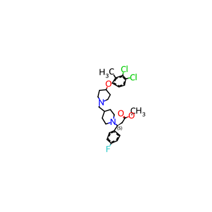 COC(=O)C[C@@H](c1ccc(F)cc1)N1CCC(CN2CCC(Oc3ccc(Cl)c(Cl)c3C)CC2)CC1